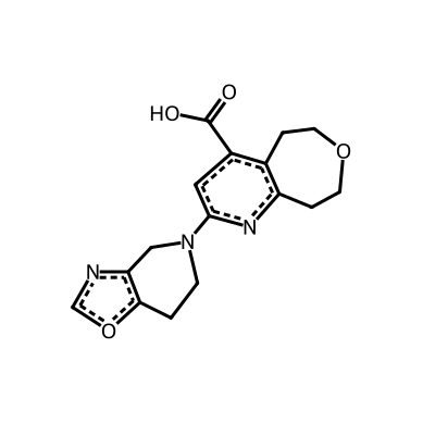 O=C(O)c1cc(N2CCc3ocnc3C2)nc2c1CCOCC2